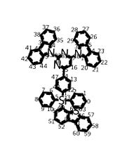 c1ccc([Si](c2ccccc2)(c2ccc(-c3cc(-n4c5ccccc5c5ccccc54)nc(-n4c5ccccc5c5ccccc54)n3)cc2)c2cccc3c2sc2ccccc23)cc1